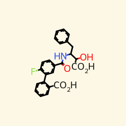 O=C(NC(Cc1ccccc1)C(O)C(=O)O)c1ccc(F)c(-c2ccccc2C(=O)O)c1